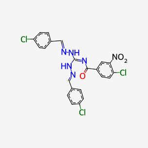 O=C(N=C(NN=Cc1ccc(Cl)cc1)NN=Cc1ccc(Cl)cc1)c1ccc(Cl)c([N+](=O)[O-])c1